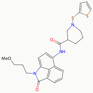 COCCCN1C(=O)c2cccc3c(NC(=O)C4CCCN(Sc5cccs5)C4)ccc1c23